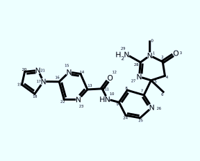 CN1C(=O)CC(C)(c2cc(NC(=O)c3cnc(-n4cccn4)cn3)ccn2)N=C1N